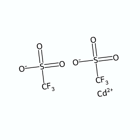 O=S(=O)([O-])C(F)(F)F.O=S(=O)([O-])C(F)(F)F.[Cd+2]